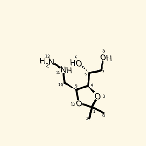 CC1(C)O[C@H]([C@H](O)CO)[C@H](CNN)O1